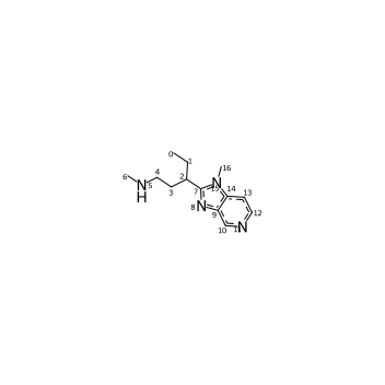 CCC(CCNC)c1nc2cnccc2n1C